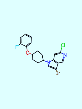 Fc1ccccc1OC1CCC(n2cc(Br)c3cnc(Cl)cc32)CC1